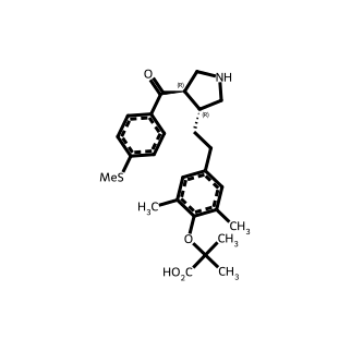 CSc1ccc(C(=O)[C@H]2CNC[C@@H]2CCc2cc(C)c(OC(C)(C)C(=O)O)c(C)c2)cc1